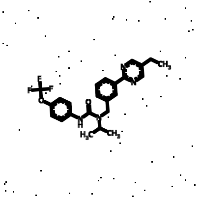 CCc1cnc(-c2cccc(CN(C(=O)Nc3ccc(OC(F)(F)F)cc3)C(C)C)c2)nc1